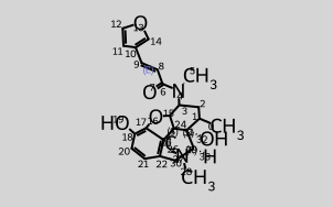 CC1CC(N(C)C(=O)/C=C/c2ccoc2)C2Oc3c(O)ccc4c3[C@@]23CCN(C)[C@H](C4)[C@]13O